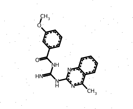 COc1cccc(C(=O)NC(=N)Nc2nc(C)c3ccccc3n2)c1